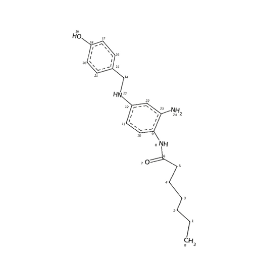 CCCCCCC(=O)Nc1ccc(NCc2ccc(O)cc2)cc1N